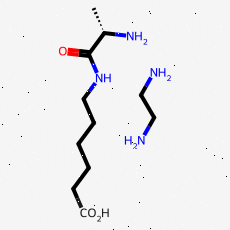 C[C@H](N)C(=O)NCCCCCC(=O)O.NCCN